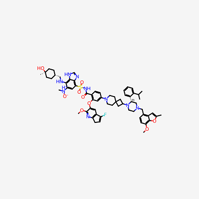 COc1nc2c(cc1Oc1cc(N3CCC4(CC3)CC(N3CCN(Cc5ccc(OC)c6oc(C)cc56)C[C@H]3c3ccccc3C(C)C)C4)ccc1C(=O)NS(=O)(=O)c1cc([NH+](C)[O-])c(NC[C@H]3CC[C@](C)(O)CC3)c3[nH]cnc13)C(F)=CC2